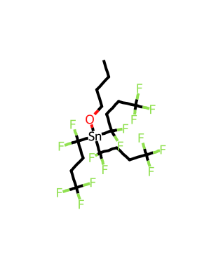 CCCC[O][Sn]([C](F)(F)CCC(F)(F)F)([C](F)(F)CCC(F)(F)F)[C](F)(F)CCC(F)(F)F